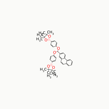 CC1(C)OB(c2ccc(OC(Oc3ccc(B4OC(C)(C)C(C)(C)O4)cc3)c3ccc4c(ccc5ccccc54)c3)cc2)OC1(C)C